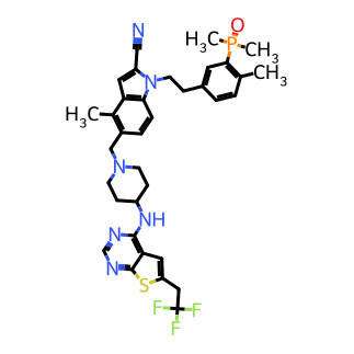 Cc1ccc(CCn2c(C#N)cc3c(C)c(CN4CCC(Nc5ncnc6sc(CC(F)(F)F)cc56)CC4)ccc32)cc1P(C)(C)=O